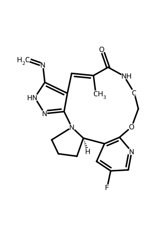 C=Nc1[nH]nc2c1/C=C(\C)C(=O)NCCOc1ncc(F)cc1[C@H]1CCCN21